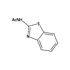 CC(=O)Nc1nc2c[c]ccc2s1